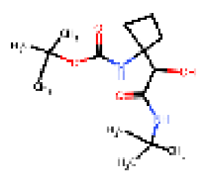 CC(C)(C)NC(=O)C(O)C1(NC(=O)OC(C)(C)C)CCC1